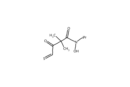 CC(C)N(O)C(=O)C(C)(C)C(=O)C=S